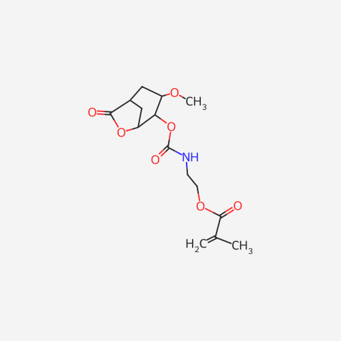 C=C(C)C(=O)OCCNC(=O)OC1C(OC)CC2CC1OC2=O